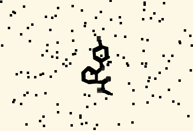 CNC(=O)c1ccccc1Oc1ccc(F)cc1